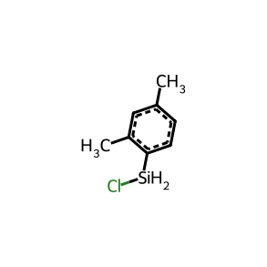 Cc1ccc([SiH2]Cl)c(C)c1